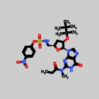 CCC(=O)N(C)c1nc2c(ncn2[C@@H]2O[C@H](CNS(=O)(=O)Oc3ccc([N+](=O)[O-])cc3)C[C@H]2O[Si](C)(C)C(C)(C)C)c(=O)[nH]1